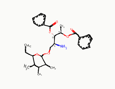 CC(=O)OCC1OC(OC[C@H](N)[C@H](OC(=O)c2ccccc2)[C@@H](C)OC(=O)c2ccccc2)C(C)C(C)C1C